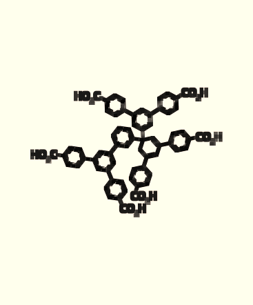 O=C(O)c1ccc(C2=CC(c3cccc(-c4cc(-c5ccc(C(=O)O)cc5)cc(-c5ccc(C(=O)O)cc5)c4)c3)(c3cc(-c4ccc(C(=O)O)cc4)cc(-c4ccc(C(=O)O)cc4)c3)CC(c3ccc(C(=O)O)cc3)=C2)cc1